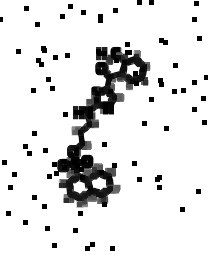 Cc1ccccc1C(=O)c1cnc(NCCCOS(=O)(=O)c2cccc3ccccc23)s1